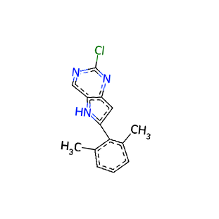 Cc1cccc(C)c1-c1cc2nc(Cl)ncc2[nH]1